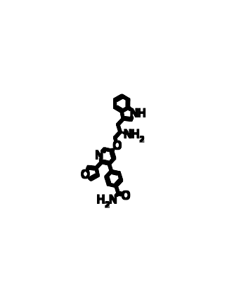 NC(=O)c1ccc(-c2cc(OC[C@@H](N)Cc3c[nH]c4ccccc34)cnc2-c2ccoc2)cc1